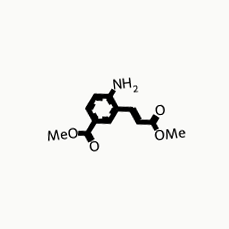 COC(=O)C=Cc1cc(C(=O)OC)ccc1N